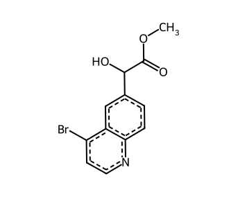 COC(=O)C(O)c1ccc2nccc(Br)c2c1